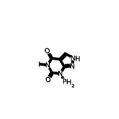 O=c1c2c[nH]nc2n(P)c(=O)n1I